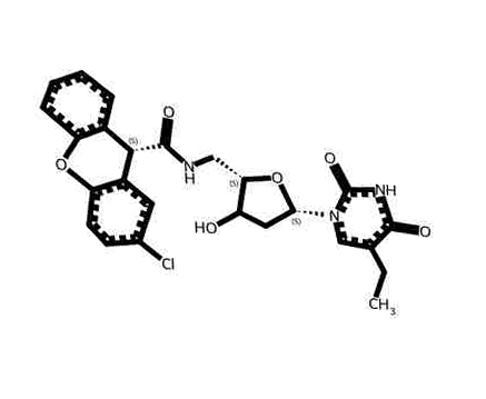 CCc1cn([C@@H]2CC(O)[C@H](CNC(=O)[C@H]3c4ccccc4Oc4ccc(Cl)cc43)O2)c(=O)[nH]c1=O